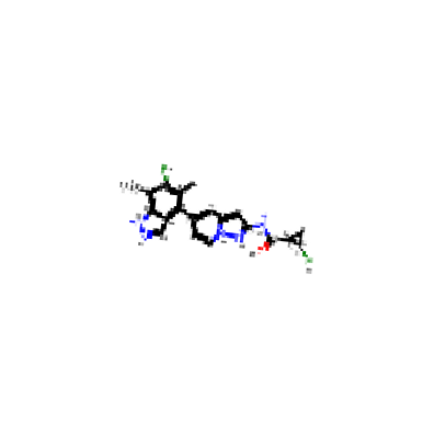 CSc1c(F)c(C)c(-c2ccn3nc(NC(=O)[C@H]4C[C@H]4F)cc3c2)c2cn[nH]c12